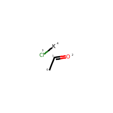 CC=O.[Cl][K]